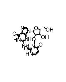 Nc1nc2c(ncn2[C@@H]2O[C@H](CO)[C@@H](O)[C@H]2O)c(=O)[nH]1.O=c1cc[nH]c(=O)[nH]1